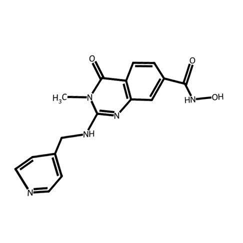 Cn1c(NCc2ccncc2)nc2cc(C(=O)NO)ccc2c1=O